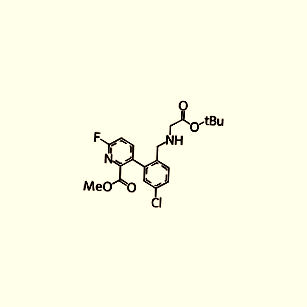 COC(=O)c1nc(F)ccc1-c1cc(Cl)ccc1CNCC(=O)OC(C)(C)C